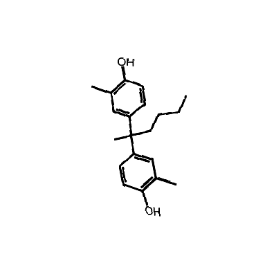 CCCCC(C)(c1ccc(O)c(C)c1)c1ccc(O)c(C)c1